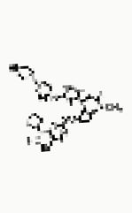 CN(C)C(=O)c1sc2cnc(Nc3ccc(N4CCNCC4)cn3)nc2c1C1CCCC1.CSc1ncc(Br)c(C(O)C2CCCC2)n1